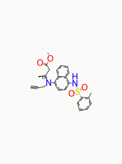 C#CCN(c1ccc(NS(=O)(=O)c2ccccc2C)c2ccccc12)[C@@H](C)CC(=O)OC